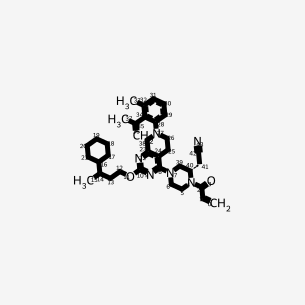 C=CC(=O)N1CCN(c2nc(OCCC(C)C3CCCCC3)nc3c2CCN(c2cccc(C)c2C(=C)C)C3)C[C@@H]1CC#N